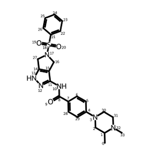 CC1CN(c2ccc(C(=O)Nc3n[nH]c4c3CN(S(=O)(=O)c3ccccc3)C4)cc2)CCN1C